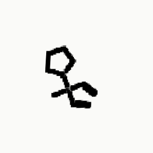 C=C[Si](C)(C=C)N1CCCC1